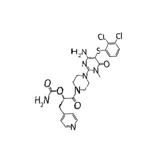 Cn1c(N2CCN(C(=O)[C@@H](Cc3ccncc3)OC(N)=O)CC2)nc(N)c(Sc2cccc(Cl)c2Cl)c1=O